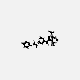 CC(C)n1cc(C(=O)c2ccnc(NC(=O)Nc3ccc(F)cc3)c2)c2c(N)ncnc21